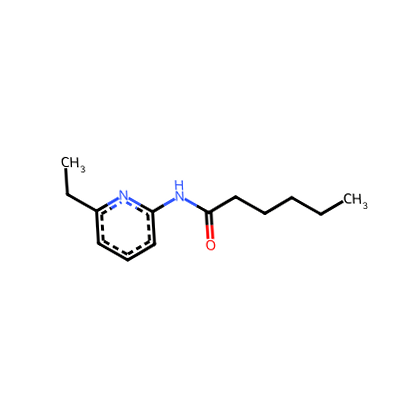 CCCCCC(=O)Nc1cccc(CC)n1